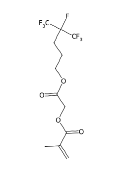 C=C(C)C(=O)OCC(=O)OCCCC(F)(C(F)(F)F)C(F)(F)F